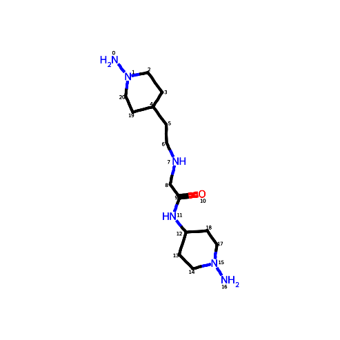 NN1CCC(CCNCC(=O)NC2CCN(N)CC2)CC1